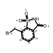 O=C1NS(=O)(=O)c2c(CBr)cccc21